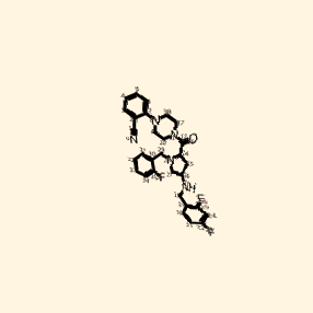 N#Cc1ccccc1N1CCN(C(=O)C2CC(NCc3ccc(F)cc3F)CN2Cc2ccccc2F)CC1